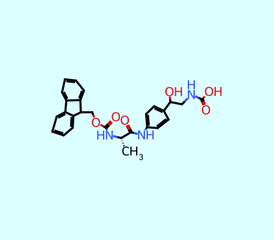 C[C@H](NC(=O)OCC1c2ccccc2-c2ccccc21)C(=O)Nc1ccc(C(O)CNC(=O)O)cc1